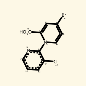 O=C(O)C1=CC(Br)=C=CN1c1ncccc1Cl